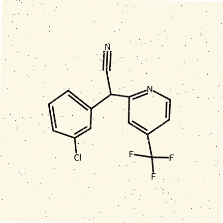 N#CC(c1cccc(Cl)c1)c1cc(C(F)(F)F)ccn1